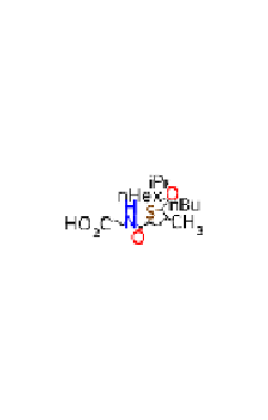 CCCCCCC(CCCC)(OC(C)C)C1SC(C(=O)NCCC(=O)O)CC1C